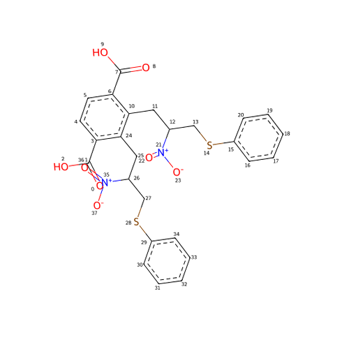 O=C(O)c1ccc(C(=O)O)c(CC(CSc2ccccc2)[N+](=O)[O-])c1CC(CSc1ccccc1)[N+](=O)[O-]